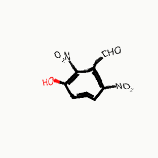 O=Cc1c([N+](=O)[O-])ccc(O)c1[N+](=O)[O-]